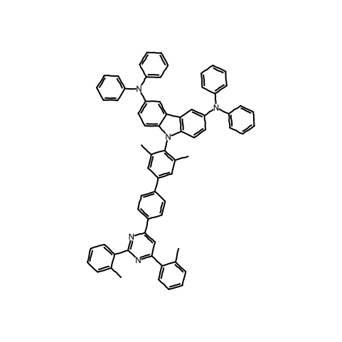 Cc1ccccc1-c1cc(-c2ccc(-c3cc(C)c(-n4c5ccc(N(c6ccccc6)c6ccccc6)cc5c5cc(N(c6ccccc6)c6ccccc6)ccc54)c(C)c3)cc2)nc(-c2ccccc2C)n1